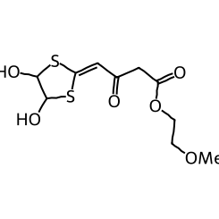 COCCOC(=O)CC(=O)C=C1SC(O)C(O)S1